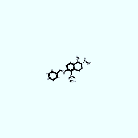 CC(C)N[C@@H]1CCc2c(ccc(OCc3ccccc3)c2N(C)C)[C@H]1O.Cl